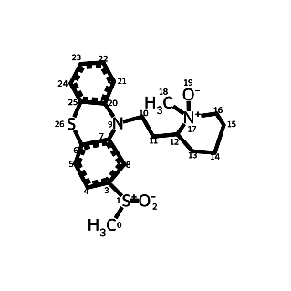 C[S+]([O-])c1ccc2c(c1)N(CCC1CCCC[N+]1(C)[O-])c1ccccc1S2